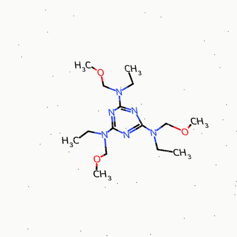 CCN(COC)c1nc(N(CC)COC)nc(N(CC)COC)n1